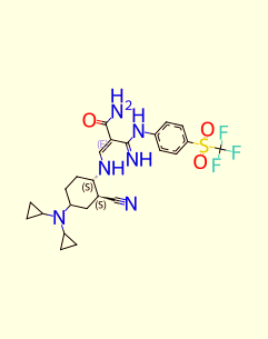 N#C[C@H]1CC(N(C2CC2)C2CC2)CC[C@@H]1N/C=C(\C(=N)Nc1ccc(S(=O)(=O)C(F)(F)F)cc1)C(N)=O